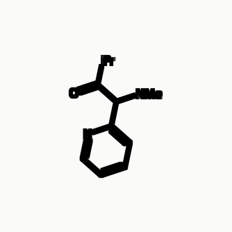 CNC(C(=O)C(C)C)c1ccccn1